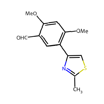 COc1cc(OC)c(-c2csc(C)n2)cc1C=O